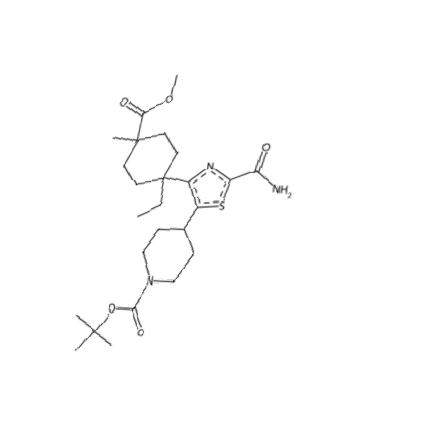 CCC1(c2nc(C(N)=O)sc2C2CCN(C(=O)OC(C)(C)C)CC2)CCC(C)(C(=O)OC)CC1